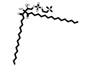 CCCCCCCCCCCCCCCC(=O)C(O)(C(=O)CCCCCCCCCCCCCCC)[C@@H](O)COP(=O)([O-])OCC[N+](C)(C)C